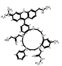 CNCc1ccc2c(-c3ccc4c(c3)OCCOc3cc(C)ccc3N(CC(=O)OC)CCN(c3ccccc3)CCN4CC(=O)CO)c3ccc(=[N+](C)C)cc-3oc2c1